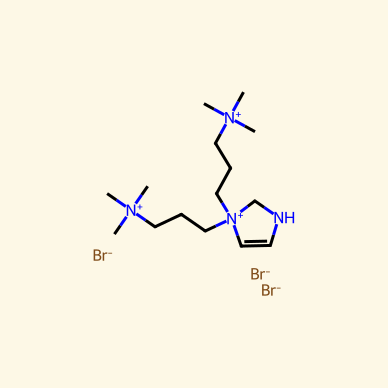 C[N+](C)(C)CCC[N+]1(CCC[N+](C)(C)C)C=CNC1.[Br-].[Br-].[Br-]